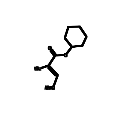 COC=C(C(=O)OC1CCCCC1)C(C)(C)C